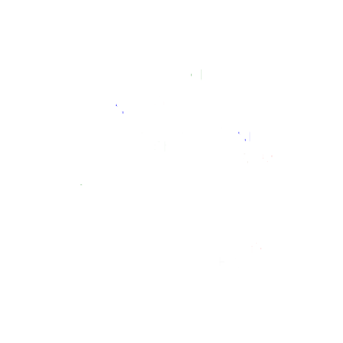 O=S(=O)(Nc1cc(Cl)c(Oc2nc3ccc(Cl)cc3s2)c(Cl)c1)c1ccc(OC(F)(F)F)cc1